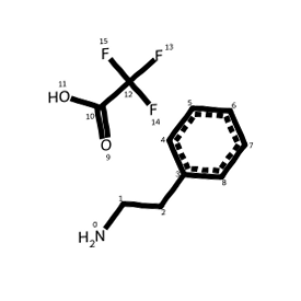 NCCc1ccccc1.O=C(O)C(F)(F)F